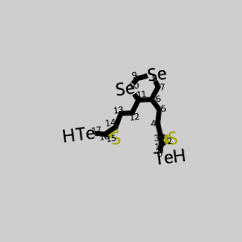 [TeH]C1SC1CCC1C[Se]C[Se]C1CCC1SC1[TeH]